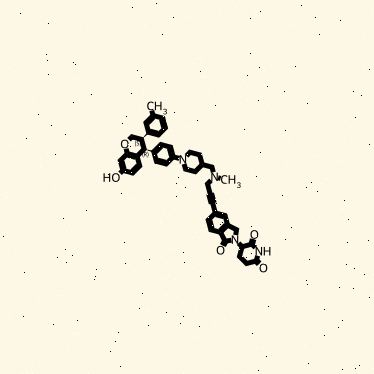 Cc1cccc([C@H]2COc3cc(O)ccc3[C@H]2c2ccc(N3CCC(CN(C)CC#Cc4ccc5c(c4)CN(C4CCC(=O)NC4=O)C5=O)CC3)cc2)c1